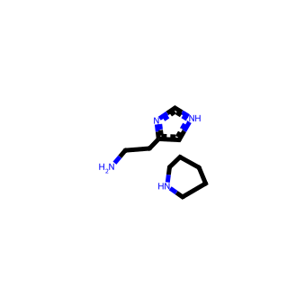 C1CCNCC1.NCCc1c[nH]cn1